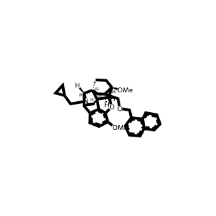 COc1ccc2c3c1O[C@H]1[C@@]4(OC)CC[C@@]5(C[C@@H]4COCc4cccc6ccccc46)[C@@H](C2)N(CC2CC2)CC[C@]315